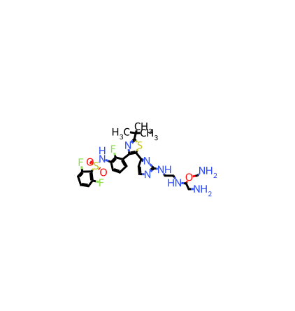 CC(C)(C)c1nc(-c2cccc(NS(=O)(=O)c3c(F)cccc3F)c2F)c(-c2ccnc(NCCNC(CN)OCN)n2)s1